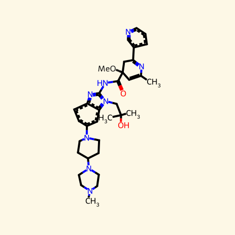 COC1(C(=O)Nc2nc3ccc(N4CCC(N5CCN(C)CC5)CC4)cc3n2CC(C)(C)O)C=C(C)N=C(c2cccnc2)C1